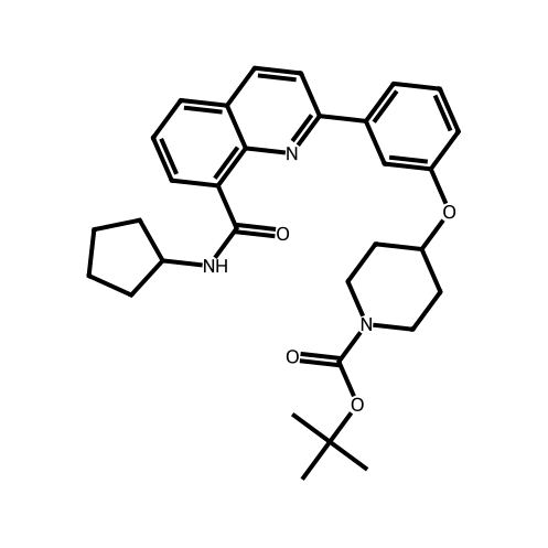 CC(C)(C)OC(=O)N1CCC(Oc2cccc(-c3ccc4cccc(C(=O)NC5CCCC5)c4n3)c2)CC1